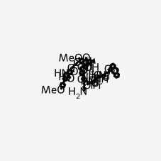 COc1ccc(C2=CN3C(=O)c4cc(OC)c(OCCCOc5cc6c(cc5OC)C(=O)N5CC7(CC7)C[C@H]5C(O)N6C(=O)OCc5ccc(NC(=O)[C@H](CCCCN)NC(=O)[C@@H](NC(=O)CNC(=O)CNC(=O)CCC(=O)N6Cc7ccccc7C#Cc7ccccc76)C(C)C)cc5)cc4NC[C@@H]3C2)cc1